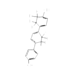 CC1=CC=C(C2=CC=C(c3ccc(C)cc3)C(F)(F)C2(F)F)C(F)(F)C1(F)F